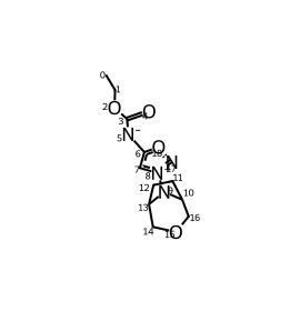 CCOC(=O)[N-]c1c[n+](N2C3CCC2COC3)no1